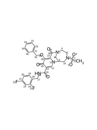 CS(=O)(=O)N1CCN2CC(C1)n1cc(C(=O)NCc3ccc(F)cc3F)c(=O)c(OCc3ccccc3)c1C2=O